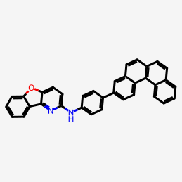 c1ccc2c(c1)ccc1ccc3cc(-c4ccc(Nc5ccc6oc7ccccc7c6n5)cc4)ccc3c12